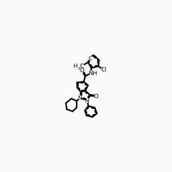 Cc1cccc(Cl)c1NC(=O)c1ccc2c(c1)c(=O)n(-c1ccccc1)n2C1CCCCC1